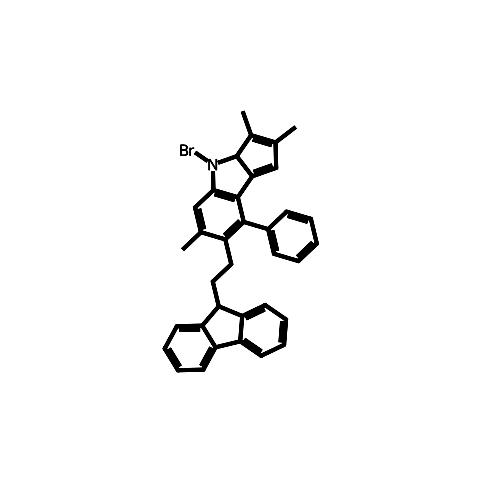 CC1=C(C)C2C(=C1)c1c(cc(C)c(CCC3c4ccccc4-c4ccccc43)c1-c1ccccc1)N2Br